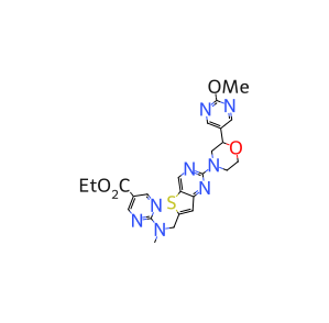 CCOC(=O)c1cnc(N(C)Cc2cc3nc(N4CCOC(c5cnc(OC)nc5)C4)ncc3s2)nc1